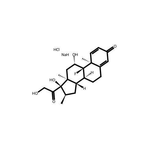 C[C@@H]1C[C@H]2[C@@H]3CCC4=CC(=O)C=C[C@]4(C)[C@@]3(F)[C@@H](O)C[C@]2(C)[C@@]1(O)C(=O)CO.Cl.[NaH]